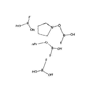 CCCOB(O)F.OB(F)ON1CCCC1.OB(O)F.OB(O)F